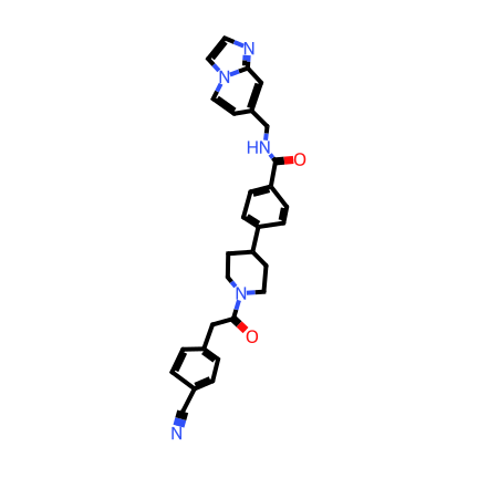 N#Cc1ccc(CC(=O)N2CCC(c3ccc(C(=O)NCc4ccn5ccnc5c4)cc3)CC2)cc1